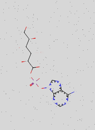 Nc1ncnc2c1ncn2OP(=O)(O)OC(O)[C@@H](O)[C@@H](O)[C@H](O)[C@H](O)CO